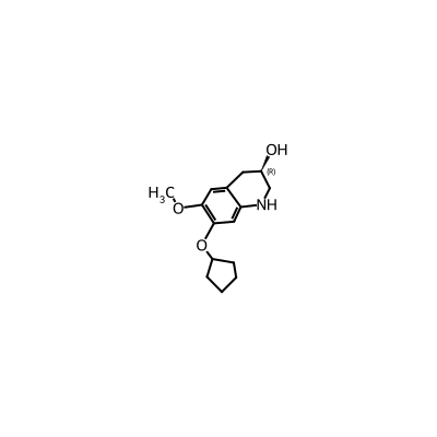 COc1cc2c(cc1OC1CCCC1)NC[C@H](O)C2